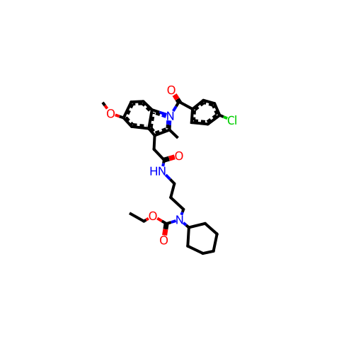 CCOC(=O)N(CCCNC(=O)Cc1c(C)n(C(=O)c2ccc(Cl)cc2)c2ccc(OC)cc12)C1CCCCC1